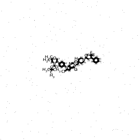 CC(C)(C)OC(=O)N1CC(C)(C)OC[C@@H]1c1ccc(-n2c(Cl)cc3c(=O)n(CC4(O)CCN(C(=O)C[C@H](c5ccccc5)C(F)(F)F)CC4)cnc32)cc1